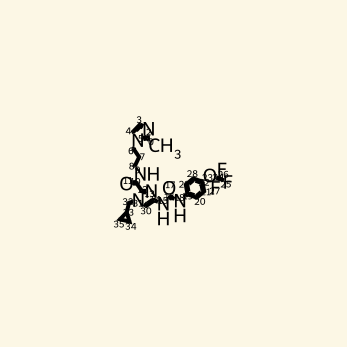 Cc1nccn1CCCNC(=O)c1nc(NC(=O)Nc2ccc(OC(F)(F)F)cc2)cn1CC1CC1